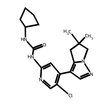 CC1(C)Cc2c(-c3cc(NC(=O)NC4CCCC4)ncc3Cl)cnn2C1